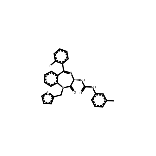 Cc1cccc(NC(=O)N[C@@H]2N=C(c3ccccc3F)c3ccccc3N(Cc3ccco3)C2=O)c1